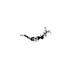 Cl.N=C(N)NC(=O)OCc1cccc(-c2cnc(N3CCC(=NOCCCCO)CC3)nc2)c1F